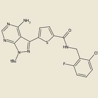 CC(C)(C)n1nc(-c2ccc(C(=O)NCc3c(F)cccc3Cl)s2)c2c(N)ncnc21